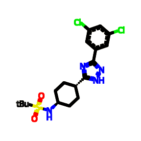 CC(C)(C)S(=O)(=O)N[C@H]1CC[C@H](c2nc(-c3cc(Cl)cc(Cl)c3)n[nH]2)CC1